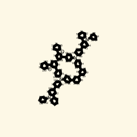 c1ccc(-n2c3ccccc3c3cc(-c4ccc(N(c5ccc(-c6cccc(-c7cccc(-c8ccc(N(c9ccc(-c%10ccc%11c(c%10)c%10ccccc%10n%11-c%10ccccc%10)cc9)c9ccc(-c%10cccc%11c%10oc%10ccccc%10%11)cc9)cc8)c7)c6)cc5)c5ccc(-c6cccc7c6oc6ccccc67)cc5)cc4)ccc32)cc1